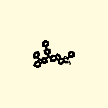 Nc1ccc2c(ccc3cc(N(c4ccc(-c5ccccc5)cc4)c4ccc5c6ccccc6n(-c6ccccc6)c5c4)ccc32)c1OCc1ccccc1